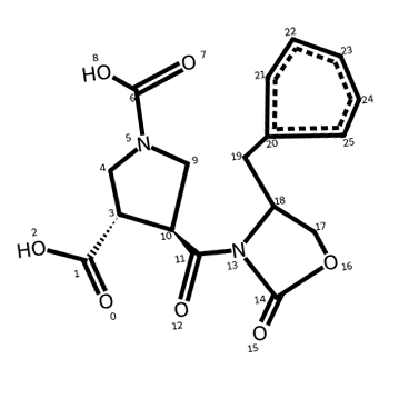 O=C(O)[C@@H]1CN(C(=O)O)C[C@H]1C(=O)N1C(=O)OCC1Cc1ccccc1